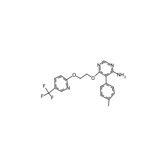 Cc1ccc(-c2c(N)ncnc2OCCOc2ccc(C(F)(F)F)cn2)cc1